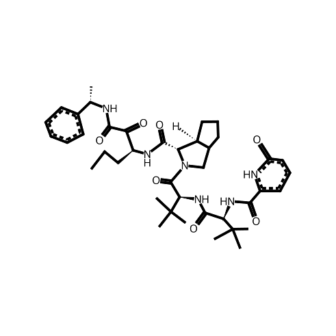 CCC[C@H](NC(=O)[C@@H]1[C@H]2CCCC2CN1C(=O)[C@@H](NC(=O)[C@@H](NC(=O)c1cccc(=O)[nH]1)C(C)(C)C)C(C)(C)C)C(=O)C(=O)N[C@@H](C)c1ccccc1